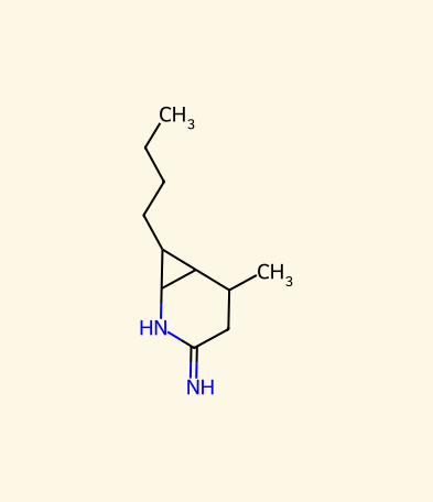 CCCCC1C2NC(=N)CC(C)C12